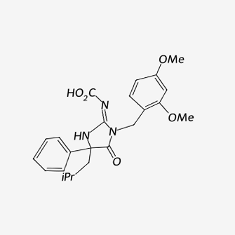 COc1ccc(CN2C(=O)C(CC(C)C)(c3ccccc3)NC2=NC(=O)O)c(OC)c1